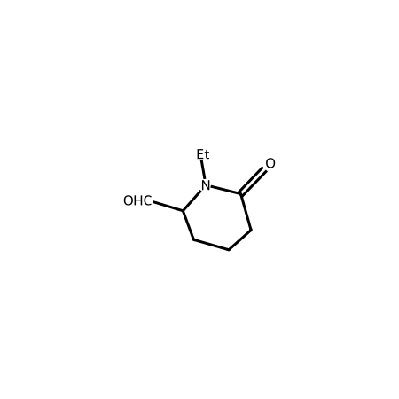 CCN1C(=O)CCCC1C=O